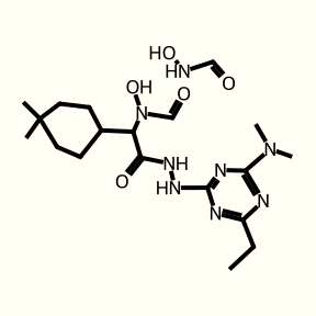 CCc1nc(NNC(=O)C(C2CCC(C)(C)CC2)N(O)C=O)nc(N(C)C)n1.O=CNO